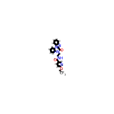 O=C(NCCNC(=O)c1nc2ccccc2n1-c1ccccc1)c1ccc(OCC(F)(F)F)nc1